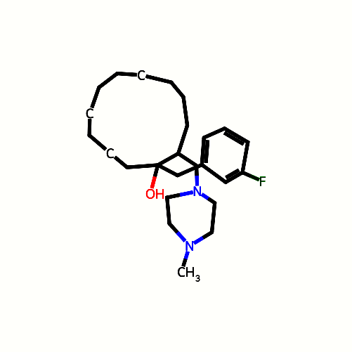 CN1CCN(CC2CCCCCCCCCCC2(O)Cc2cccc(F)c2)CC1